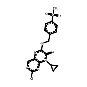 CS(=O)(=O)c1ccc(CNc2nc3cnc(Cl)nc3n(C3CC3)c2=O)cc1